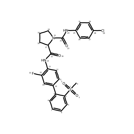 CS(=O)(=O)c1ccccc1-c1ccc(NC(=O)C2CCCN2C(=O)Nc2ccc(Cl)cc2)c(F)c1